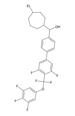 CCC1CCCC(C(O)c2ccc(-c3cc(F)c(C(F)(F)Oc4cc(F)c(F)c(F)c4)c(F)c3)cc2)CC1